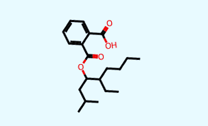 CCCCC(CC)C(CC(C)C)OC(=O)c1ccccc1C(=O)O